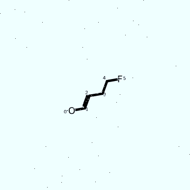 [O]C=CCCF